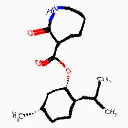 CC(C)[C@H]1CC[C@H](C)C[C@@H]1OC(=O)C1CCCNC1=O